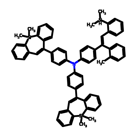 Cc1ccccc1/C(=C\c1ccccc1[SiH](C)C)c1ccc(N(c2ccc(C3=Cc4ccccc4[Si](C)(C)c4ccccc43)cc2)c2ccc(C3=Cc4ccccc4[Si](C)(C)c4ccccc43)cc2)cc1